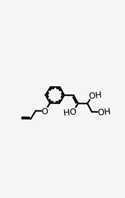 C=CCOc1cccc(C=C(O)C(O)CO)c1